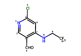 O=Cc1cnc(Cl)cc1NCC(F)(F)F